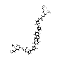 CCCCC(CC)COC(=S)Sc1ccc(-c2ccc(-c3ccc4c(c3)sc3c5ccc(-c6ccc(-c7ccc(SC(=S)OCC(CC)CCCC)s7)s6)cc5sc43)s2)s1